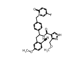 COCc1n[nH]cc1C(=O)NC(Cc1cc(OC)ccc1C#N)c1ccc(Cn2cc(F)ccc2=O)cc1